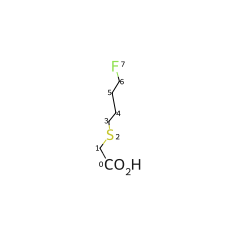 O=C(O)CSCCCCF